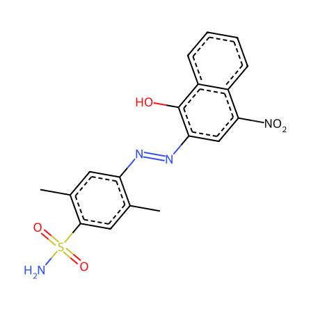 Cc1cc(S(N)(=O)=O)c(C)cc1N=Nc1cc([N+](=O)[O-])c2ccccc2c1O